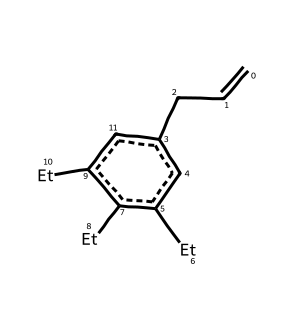 C=CCc1cc(CC)c(CC)c(CC)c1